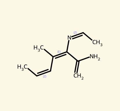 C=C(N)C(/N=C\C)=C(C)\C=C/C